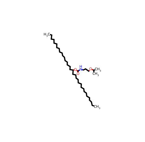 CCCCCCCCCCCCCCCCCC(CCCCCCCCCCCCCCCC)OC(=O)NCCCOC(C)C